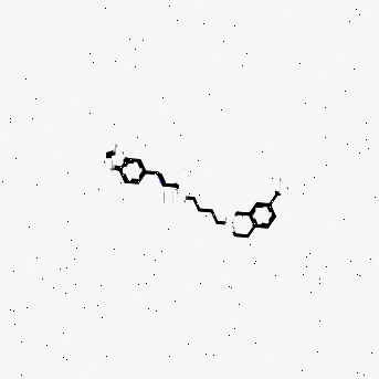 N#Cc1ccc2c(c1)CN(CCCCNC(=O)/C=C/c1ccc3[nH]cnc3c1)CC2